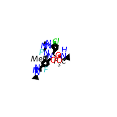 CN/C1=N\C(F)c2ncnn2-c2cc(ccc2Cl)[C@@H](COC(=O)NC2(C(F)(F)F)CC2)N1C(=O)c1ccc(-c2cn(C3CC3)nn2)c(F)c1